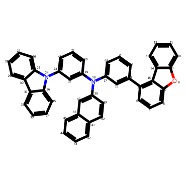 c1cc(-c2cccc3oc4ccccc4c23)cc(N(c2cccc(-n3c4ccccc4c4ccccc43)c2)c2ccc3ccccc3c2)c1